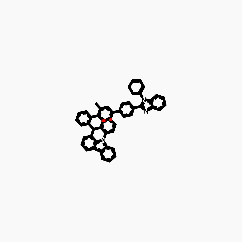 Cc1cc(-c2ccc(-c3nc4ccccc4n3C3=CC=CCC3)cc2)ccc1-c1ccccc1C1c2ccccc2-n2c3ccccc3c3cccc1c32